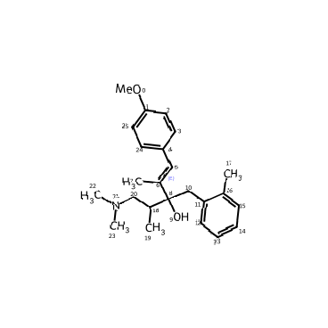 COc1ccc(/C=C(\C)C(O)(Cc2ccccc2C)C(C)CN(C)C)cc1